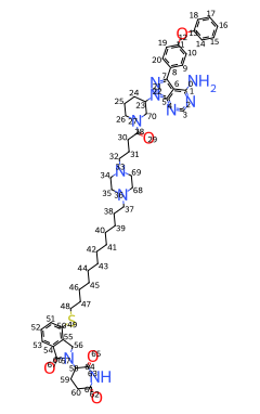 Nc1ncnc2c1c(-c1ccc(Oc3ccccc3)cc1)nn2C1CCCN(C(=O)CCCN2CCN(CCCCCCCCCCCCSc3cccc4c3CN(C3CCC(=O)NC3=O)C4=O)CC2)C1